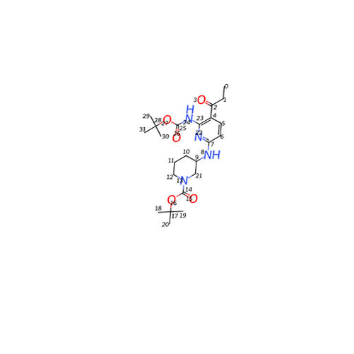 CCC(=O)c1ccc(NC2CCCN(C(=O)OC(C)(C)C)C2)nc1NC(=O)OC(C)(C)C